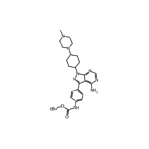 CN1CCN(C2CCC(n3nc(-c4ccc(NC(=O)OC(C)(C)C)cc4)c4c(N)ncnc43)CC2)CC1